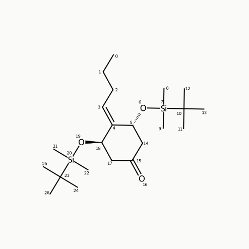 CCCC=C1[C@H](O[Si](C)(C)C(C)(C)C)CC(=O)C[C@H]1O[Si](C)(C)C(C)(C)C